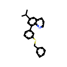 CC(C)c1cc(-c2cccc(SCc3ccccc3)c2)c2ncccc2c1